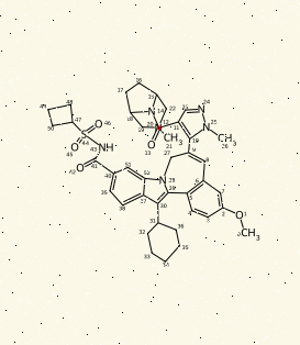 COc1ccc2c(c1)C=C(c1c(C(=O)N3C4CCC3CN(C)C4)cnn1C)Cn1c-2c(C2CCCCC2)c2ccc(C(=O)NS(=O)(=O)C3CCC3)cc21